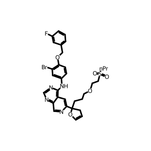 CCCS(=O)(=O)CCOCCCC1(c2cc3c(Nc4ccc(OCc5cccc(F)c5)c(Br)c4)ncnc3cn2)CC=CO1